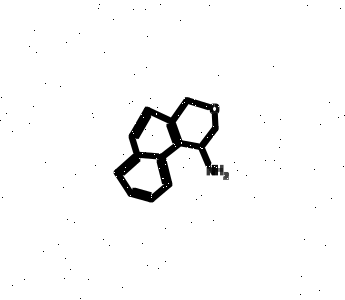 NC1COCc2ccc3ccccc3c21